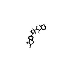 Cc1ncccc1C(=O)Nc1nc(-c2ccc3c(c2)CCC(=O)N3)cs1